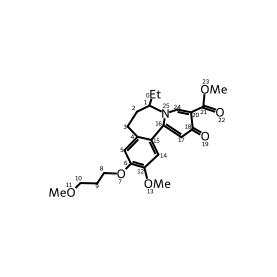 CCC1CCc2cc(OCCCOC)c(OC)cc2-c2cc(=O)c(C(=O)OC)cn21